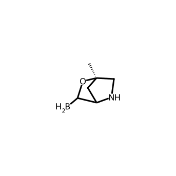 BC1O[C@@]2(C)CNC1C2